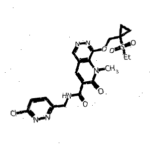 CCS(=O)(=O)C1(COc2nncc3cc(C(=O)NCc4ccc(Cl)nn4)c(=O)n(C)c23)CC1